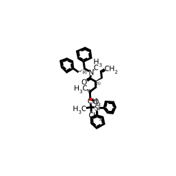 C=CC[C@@H](C[C@@H](C)CO[Si](c1ccccc1)(c1ccccc1)C(C)(C)C)C(=O)N(C)[C@H](Cc1ccccc1)c1ccccc1